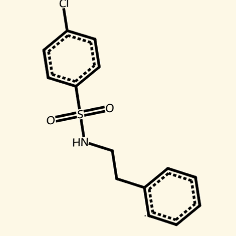 O=S(=O)(NCCc1[c]cccc1)c1ccc(Cl)cc1